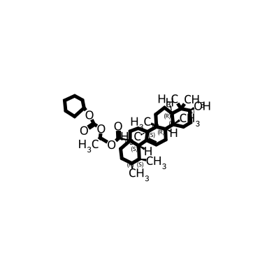 CC(OC(=O)OC1CCCCC1)OC(=O)[C@]12CC[C@@H](C)[C@H](C)[C@H]1C1=CC[C@@H]3[C@@]4(C)CC[C@H](O)C(C)(C)[C@@H]4CC[C@@]3(C)[C@]1(C)CC2